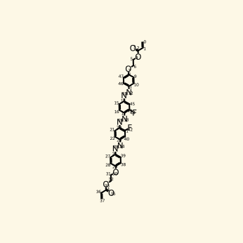 C=CC(=O)OCCOc1ccc(/N=N/c2ccc(/N=N/c3ccc(/N=N/c4ccc(OCCOC(=O)C=C)cc4)cc3F)c(F)c2)cc1